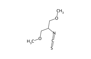 COCC(COC)N=C=S